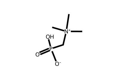 C[N+](C)(C)CP(=O)([O-])O